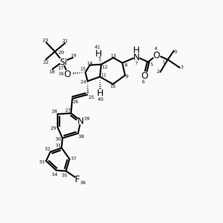 CC(C)(C)OC(=O)NC1CC[C@@H]2[C@H](C1)C[C@@H](O[Si](C)(C)C(C)(C)C)[C@H]2/C=C/c1ccc(-c2cccc(F)c2)cn1